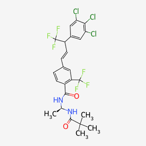 C[C@@H](NC(=O)c1ccc(/C=C/C(c2cc(Cl)c(Cl)c(Cl)c2)C(F)(F)F)cc1C(F)(F)F)NC(=O)C(C)(C)C